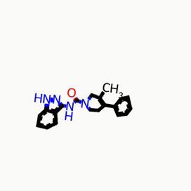 CC1=C(c2ccccc2)CCN(C(=O)Nc2n[nH]c3ccccc23)C1